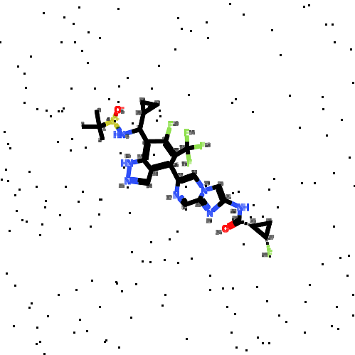 CC(C)(C)[S+]([O-])NC(c1c(F)c(C(F)(F)F)c(-c2cn3cc(NC(=O)[C@@H]4C[C@@H]4F)nc3cn2)c2cn[nH]c12)C1CC1